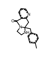 Cc1ccc(CC23Cc4ncccc4C(=O)N2CCN3)cc1